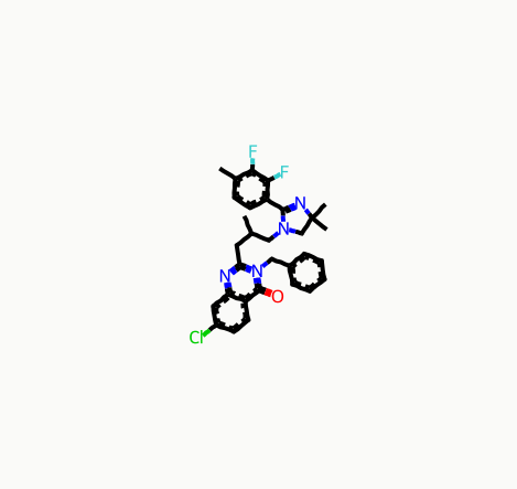 Cc1ccc(C2=NC(C)(C)CN2CC(C)Cc2nc3cc(Cl)ccc3c(=O)n2Cc2ccccc2)c(F)c1F